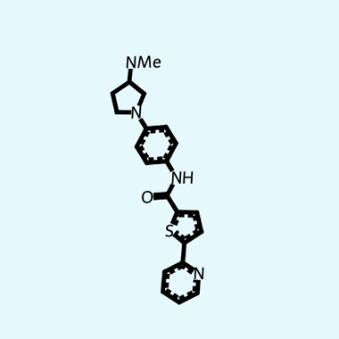 CNC1CCN(c2ccc(NC(=O)c3ccc(-c4ccccn4)s3)cc2)C1